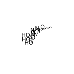 CCCCCC(=O)Cc1cnc2c3ncn([C@@H]4O[C@H](CO)[C@@H](O)[C@H]4O)c3ncn12